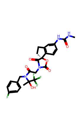 CNC(=O)Nc1ccc2c(c1)CC[C@@]21OC(=O)N(CC(=O)N(Cc2ccc(F)cc2)C(C)(O)C(F)(F)F)C1=O